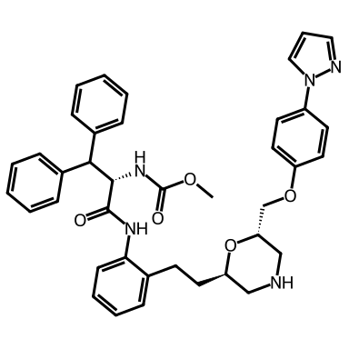 COC(=O)N[C@H](C(=O)Nc1ccccc1CC[C@@H]1CNC[C@@H](COc2ccc(-n3cccn3)cc2)O1)C(c1ccccc1)c1ccccc1